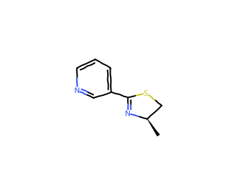 C[C@@H]1CSC(c2cccnc2)=N1